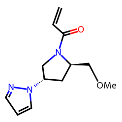 C=CC(=O)N1C[C@@H](n2cccn2)C[C@@H]1COC